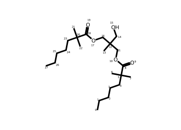 CCCCCC(C)(C)C(=O)OCC(C)(CO)COC(=O)C(C)(C)CCCCC